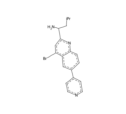 CC(C)CC(N)c1cc(Br)c2cc(-c3ccncc3)ccc2n1